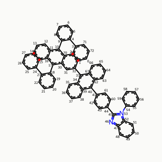 c1ccc(-c2ccccc2-c2c3ccccc3c(-c3ccccc3-c3ccccc3)c3cc(-c4c5ccccc5c(-c5ccc(-c6nc7ccccc7n6-c6ccccc6)cc5)c5ccccc45)ccc23)cc1